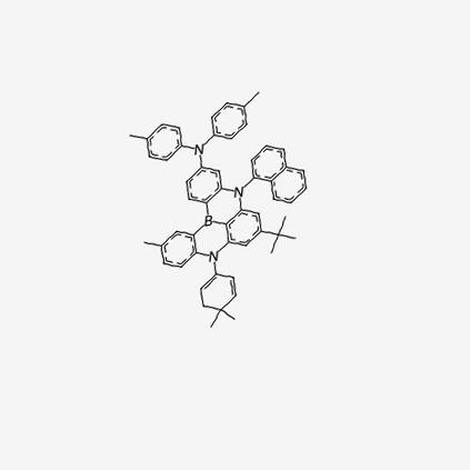 Cc1ccc(N(c2ccc(C)cc2)c2ccc3c(c2)N(c2cccc4ccccc24)c2cc(C(C)(C)C)cc4c2B3c2cc(C)ccc2N4C2=CCC(C)(C)C=C2)cc1